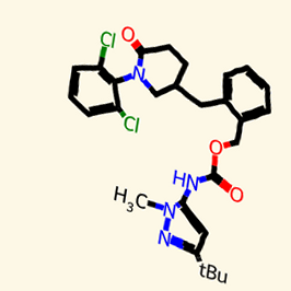 Cn1nc(C(C)(C)C)cc1NC(=O)OCc1ccccc1CC1CCC(=O)N(c2c(Cl)cccc2Cl)C1